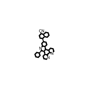 N#Cc1ccc(-c2ccc3c(c2)nc(-c2ccccc2)c2c4cccnc4c4ncccc4c32)c2ccccc12